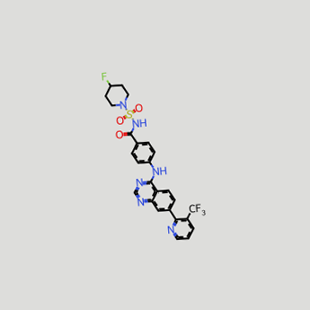 O=C(NS(=O)(=O)N1CCC(F)CC1)c1ccc(Nc2ncnc3cc(-c4ncccc4C(F)(F)F)ccc23)cc1